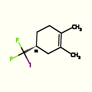 CC1=C(C)C[C@H](C(F)(F)I)CC1